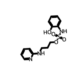 O=S(=O)(Nc1ccccc1O)OCCCNc1ccccn1